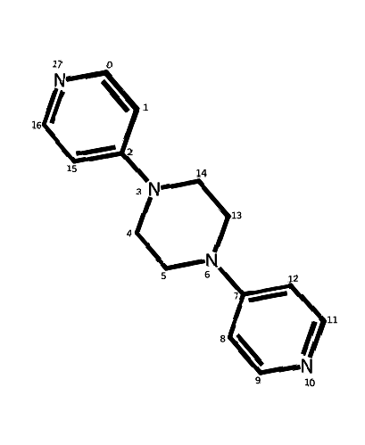 c1cc(N2CCN(c3ccncc3)CC2)ccn1